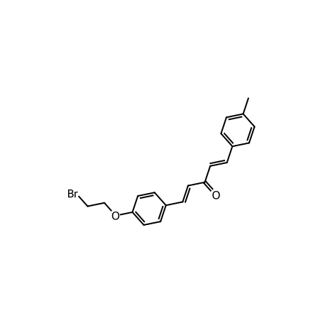 Cc1ccc(C=CC(=O)C=Cc2ccc(OCCBr)cc2)cc1